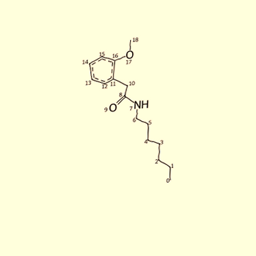 CCCCCCCNC(=O)Cc1ccccc1OC